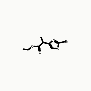 CCOC(=O)C(C)c1csc(Br)n1